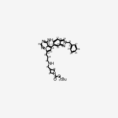 CC(C)(C)OC(=O)N1CC(CNCCCc2cc(-c3ccc4cn(Cc5ccccc5)nc4c3)c3c(N)ncnn23)C1